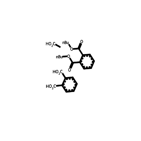 CC(=O)O.CCCCOC(=O)c1ccccc1C(=O)OCCCC.O=C(O)c1ccccc1C(=O)O